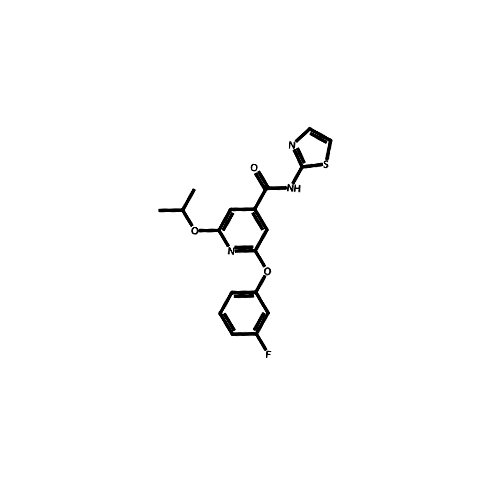 CC(C)Oc1cc(C(=O)Nc2nccs2)cc(Oc2cccc(F)c2)n1